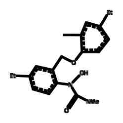 CCc1ccc(OCc2cc(CC)ccc2N(O)C(=O)NC)c(C)c1